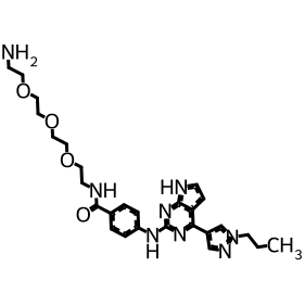 CCCn1cc(-c2nc(Nc3ccc(C(=O)NCCOCCOCCOCCN)cc3)nc3[nH]ccc23)cn1